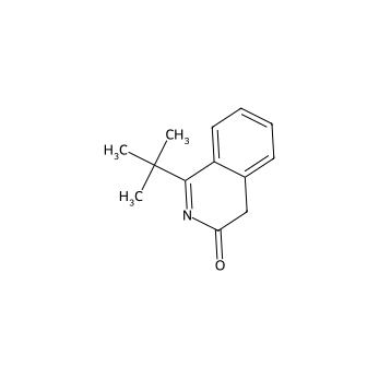 CC(C)(C)C1=NC(=O)Cc2ccccc21